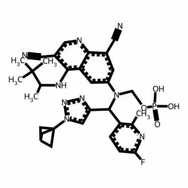 Cc1nc(F)ccc1C(c1cn(C23CC(C2)C3)nn1)N(COP(=O)(O)O)c1cc(C#N)c2ncc(C#N)c(NC(C)C(C)(C)C)c2c1